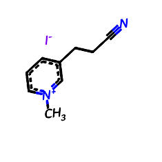 C[n+]1cccc(CCC#N)c1.[I-]